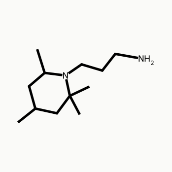 CC1CC(C)N(CCCN)C(C)(C)C1